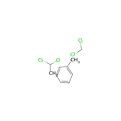 CC(Cl)Cl.Cc1ccccc1.ClCCl